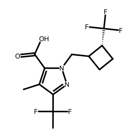 Cc1c(C(C)(F)F)nn(CC2CC[C@H]2C(F)(F)F)c1C(=O)O